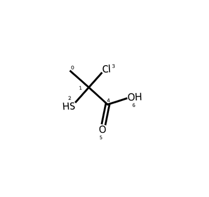 CC(S)(Cl)C(=O)O